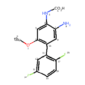 CC(C)(C)Oc1cc(NC(=O)O)c(N)cc1-c1cc(F)ccc1F